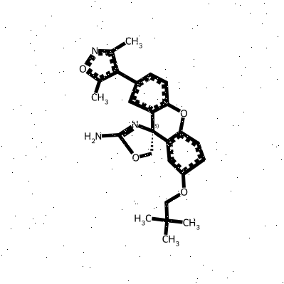 Cc1noc(C)c1-c1ccc2c(c1)[C@@]1(COC(N)=N1)c1cc(OCC(C)(C)C)ccc1O2